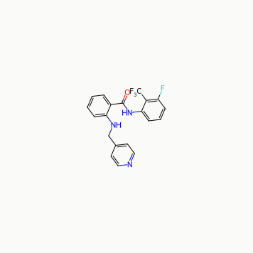 O=C(Nc1cccc(F)c1C(F)(F)F)c1ccccc1NCc1ccncc1